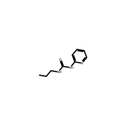 CCCNC(=O)Nc1ccccn1